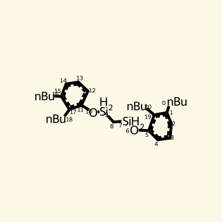 CCCCc1cccc(O[SiH2]C[SiH2]Oc2cccc(CCCC)c2CCCC)c1CCCC